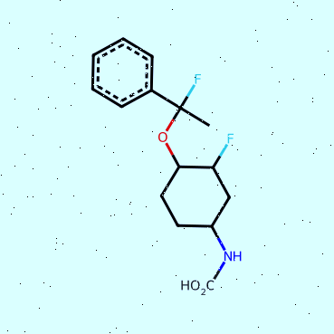 CC(F)(OC1CCC(NC(=O)O)CC1F)c1ccccc1